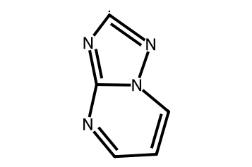 [c]1nc2ncccn2n1